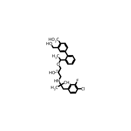 CC(OC[C@@H](O)CNC(C)(C)Cc1ccc(Cl)c(F)c1)c1ccccc1-c1ccc(C(=O)O)c(CO)c1